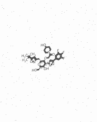 CC(C)(C)c1cc(C[C@H]2O[C@H](CO)[C@H](O)[C@H](n3cc(-c4cc(F)c(F)c(F)c4)nn3)[C@H]2OCC(=O)N2CCC(O)CC2)no1